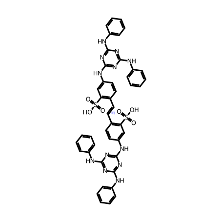 O=S(=O)(O)c1cc(Nc2nc(Nc3ccccc3)nc(Nc3ccccc3)n2)ccc1/C=C/c1ccc(Nc2nc(Nc3ccccc3)nc(Nc3ccccc3)n2)cc1S(=O)(=O)O